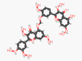 O=c1c(OO)c(-c2ccc(OO)c(OCOc3cc(OO)cc4oc(-c5ccc(OO)c(OO)c5)c(OO)c(=O)c34)c2)oc2cc(OO)cc(O)c12